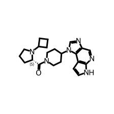 O=C([C@@H]1CCCN1C1CCC1)N1CCC(n2cnc3cnc4[nH]ccc4c32)CC1